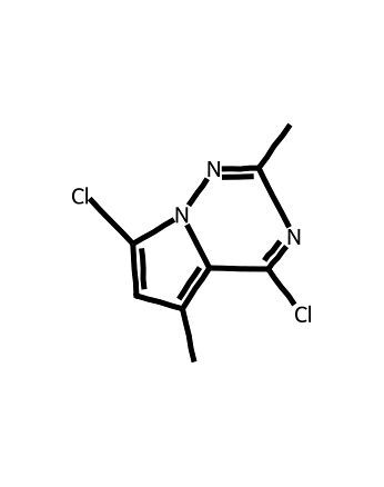 Cc1nc(Cl)c2c(C)cc(Cl)n2n1